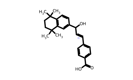 CC1(C)CCC(C)(C)c2cc(C(O)/C=C/c3ccc(C(=O)O)cc3)ccc21